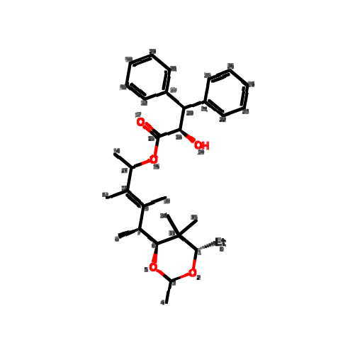 CC[C@@H]1OC(C)O[C@@H]([C@@H](C)/C(C)=C(\C)C(C)OC(=O)[C@H](O)C(c2ccccc2)c2ccccc2)C1(C)C